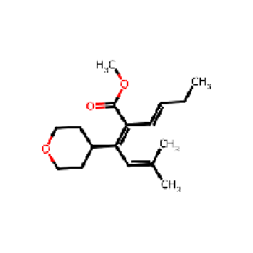 CC/C=C/C(C(=O)OC)=C(\C=C(C)C)C1CCOCC1